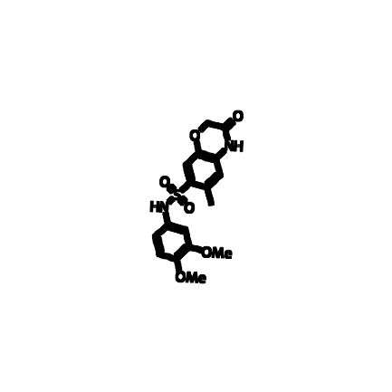 COc1ccc(NS(=O)(=O)c2cc3c(cc2C)NC(=O)CO3)cc1OC